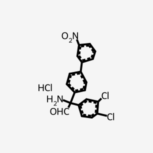 Cl.NC(C=O)(c1ccc(-c2cccc([N+](=O)[O-])c2)cc1)c1ccc(Cl)c(Cl)c1